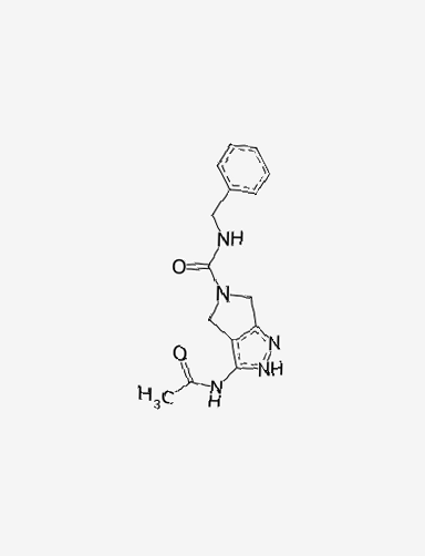 CC(=O)Nc1[nH]nc2c1CN(C(=O)NCc1ccccc1)C2